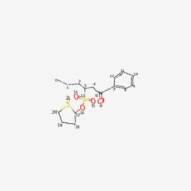 CCCC(CC(=O)c1ccccc1)S(=O)(=O)OC1CCCS1